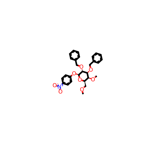 COC[C@H]1O[C@@H](Oc2ccc([N+](=O)[O-])cc2)[C@H](OCc2ccccc2)[C@@H](OCc2ccccc2)[C@H]1OC